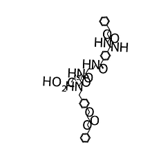 N=C(NC(=O)OCc1ccccc1)c1ccc(C(=O)NCCC(=O)N[C@@H](CC(=O)O)C(=O)NCCc2ccc(OCC(=O)OCc3ccccc3)cc2)cc1